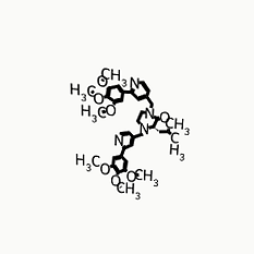 COc1cc(-c2cc(CN3CCN(Cc4ccnc(-c5cc(OC)c(OC)c(OC)c5)c4)[C@@H](CC(C)C)C3=O)ccn2)cc(OC)c1OC